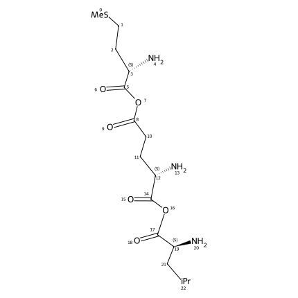 CSCC[C@H](N)C(=O)OC(=O)CC[C@H](N)C(=O)OC(=O)[C@@H](N)CC(C)C